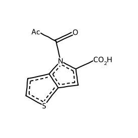 CC(=O)C(=O)n1c(C(=O)O)cc2sccc21